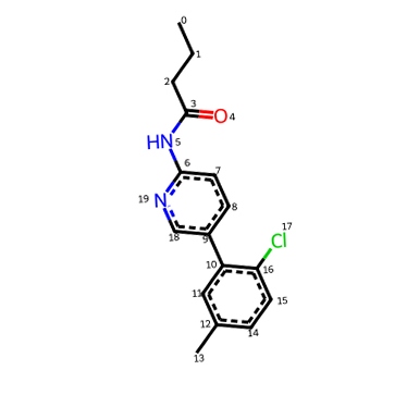 CCCC(=O)Nc1ccc(-c2cc(C)ccc2Cl)cn1